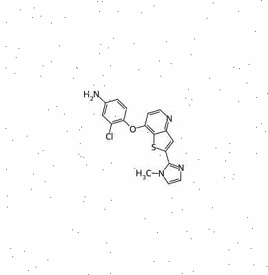 Cn1ccnc1-c1cc2nccc(Oc3ccc(N)cc3Cl)c2s1